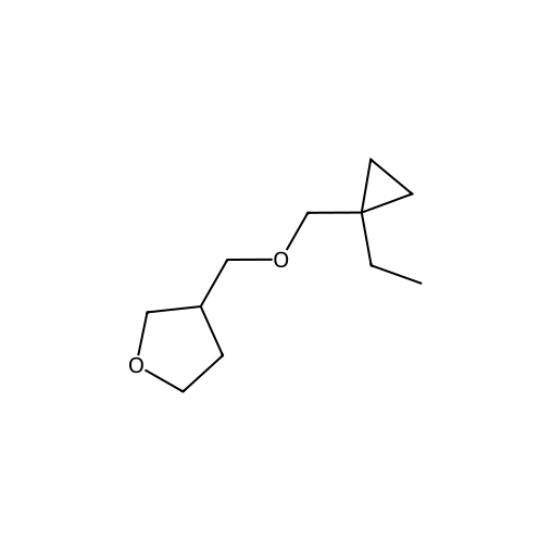 CCC1(COCC2CCOC2)CC1